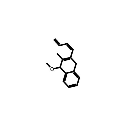 C=C/C=C\C1=C(C)C(OC)c2ccccc2C1